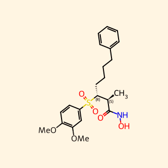 COc1ccc(S(=O)(=O)[C@H](CCCCc2ccccc2)[C@@H](C)C(=O)NO)cc1OC